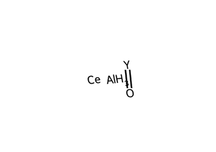 [AlH3].[Ce].[O]=[Y]